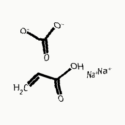 C=CC(=O)O.O=C([O-])[O-].[Na+].[Na+]